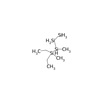 CC[Si](C)(CC)[SiH](C)[SiH2][SiH3]